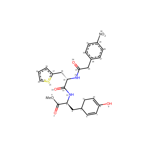 COC(=O)[C@H](CC1C=CC(O)=CC1)NC(=O)[C@H](Cc1cccs1)NC(=O)Cc1ccc([N+](=O)[O-])cc1